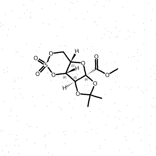 COC(=O)[C@@]12O[C@H]3COS(=O)(=O)O[C@H]3[C@@H]1OC(C)(C)O2